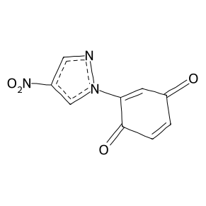 O=C1C=CC(=O)C(n2cc([N+](=O)[O-])cn2)=C1